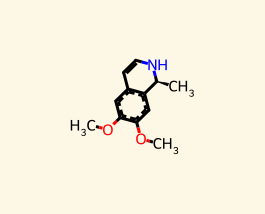 COc1cc2c(cc1OC)[C@H](C)NC=C2